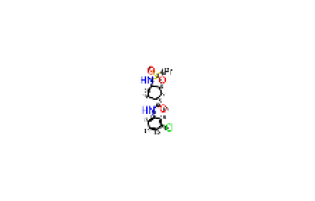 CC(C)S(=O)(=O)N[C@H]1CC[C@H](C(=O)Nc2cccc(Cl)c2)CC1